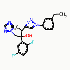 CCc1cccc(-n2cc(C(C)C(O)(Cn3cncn3)c3cc(F)ccc3F)nn2)c1